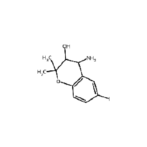 CC1(C)Oc2ccc(I)cc2C(N)C1O